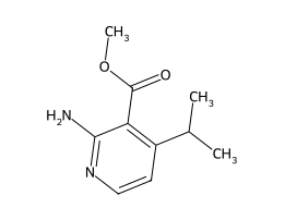 COC(=O)c1c(C(C)C)ccnc1N